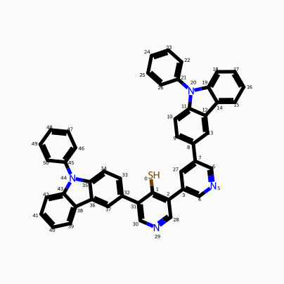 Sc1c(-c2cncc(-c3ccc4c(c3)c3ccccc3n4-c3ccccc3)c2)cncc1-c1ccc2c(c1)c1ccccc1n2-c1ccccc1